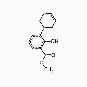 COC(=O)c1cccc(C2CC=CCC2)c1O